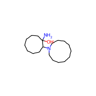 NC1(O)CCCCCCCC1N1CCCCCCCCCC1